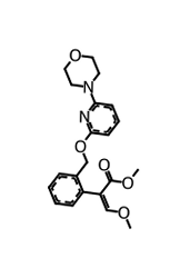 COC=C(C(=O)OC)c1ccccc1COc1cccc(N2CCOCC2)n1